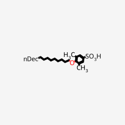 CCCCCCCCCCCCCCCCCCCOc1c(C)cc(S(=O)(=O)O)cc1C